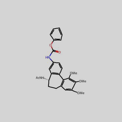 COc1cc2c(c(OC)c1OC)-c1ccc(NC(=O)Oc3ccccc3)cc1[C@@H](NC(C)=O)CC2